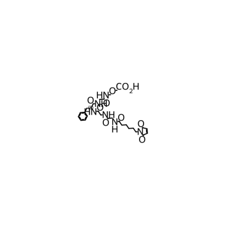 O=C(O)COCNC(=O)CNC(=O)[C@H](Cc1ccccc1)NC(=O)CNC(=O)CNC(=O)CCCCCN1C(=O)C=CC1=O